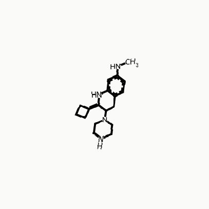 CNc1ccc2c(c1)NC(=C1CCC1)C(N1CCNCC1)C2